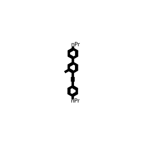 CCCc1ccc(C#Cc2ccc(-c3ccc(CCC)cc3)cc2C)cc1